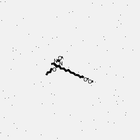 CCCCOc1c(C)nc(OC)nc1CCCCCCCCCCOCOC